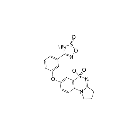 O=S1NC(c2cccc(Oc3ccc4c(c3)S(=O)(=O)N=C3CCCN34)c2)=NO1